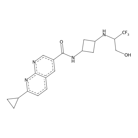 O=C(NC1CC(NC(CO)C(F)(F)F)C1)c1cnc2nc(C3CC3)ccc2c1